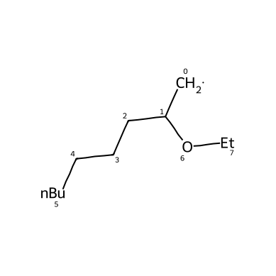 [CH2]C(CCCCCCC)OCC